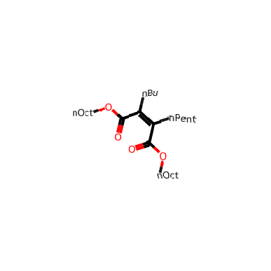 CCCCCCCCOC(=O)/C(CCCC)=C(/CCCCC)C(=O)OCCCCCCCC